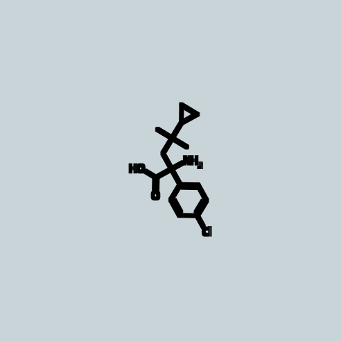 CC(C)(CC(N)(C(=O)O)c1ccc(Cl)cc1)C1CC1